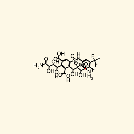 NC(=O)C(O)C(O)C(O)c1c(C(=O)O)cc(S(=O)(=O)Nc2ccc(F)c(C(F)(F)F)c2)c(C(O)C(O)C(O)C(N)=O)c1C(=O)O